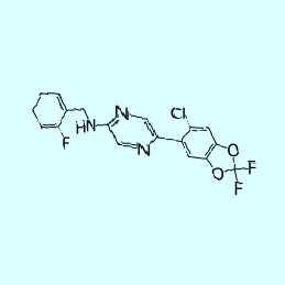 FC1=CCCC=C1CNc1cnc(-c2cc3c(cc2Cl)OC(F)(F)O3)cn1